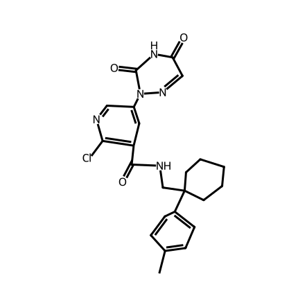 Cc1ccc(C2(CNC(=O)c3cc(-n4ncc(=O)[nH]c4=O)cnc3Cl)CCCCC2)cc1